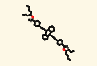 C=CCCC(CC=C)O[SiH2]c1ccc(C#Cc2c3ccccc3c(C#Cc3ccc([SiH2]OC(CC=C)CCC=C)cc3)c3ccccc23)cc1